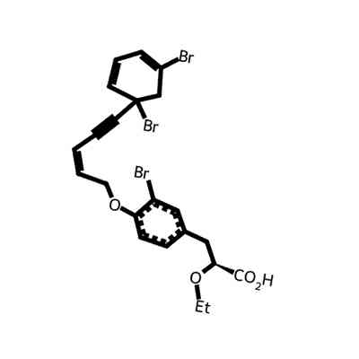 CCO[C@@H](Cc1ccc(OC/C=C\C#CC2(Br)C=CC=C(Br)C2)c(Br)c1)C(=O)O